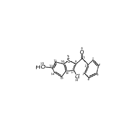 O=C(c1ccccc1)c1sc2cc(O)ccc2c1Cl